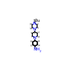 CC(C)(C)N1CCN(C2CCN(c3ccc(N)cc3)CC2)CC1